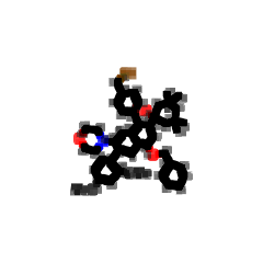 COc1ccc(-c2cc3c(OCc4ccccc4)cc(C4(O)CC(C)(C)CC(C)(C)C4)c(-c4ccc(CS)cc4)c3cc2N2CCOCC2)c(OC)c1